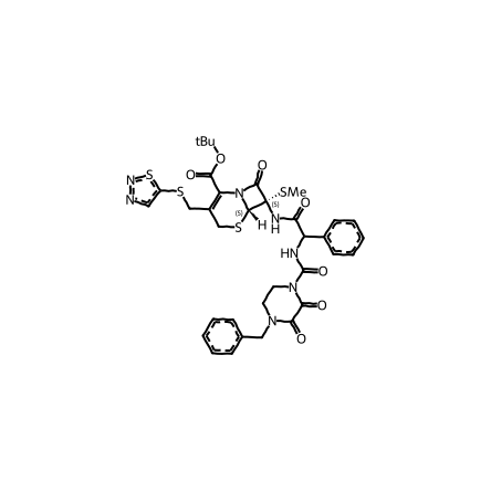 CS[C@@]1(NC(=O)C(NC(=O)N2CCN(Cc3ccccc3)C(=O)C2=O)c2ccccc2)C(=O)N2C(C(=O)OC(C)(C)C)=C(CSc3cnns3)CS[C@H]21